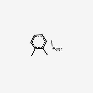 CCCC(C)C.Cc1ccccc1C